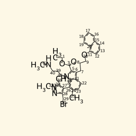 CCOC(=O)c1c(CCCOc2cccc3ccccc23)c2ccc(C)c(-c3c(CBr)nn(C)c3C)c2n1CCCNC